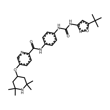 CC1(C)CC(Oc2ccc(C(=O)Nc3ccc(NC(=O)Nc4cc(C(C)(C)C)on4)cc3)nc2)CC(C)(C)N1